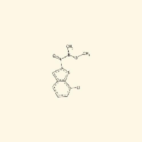 CON(C)C(=O)c1cc2cccc(Cl)c2s1